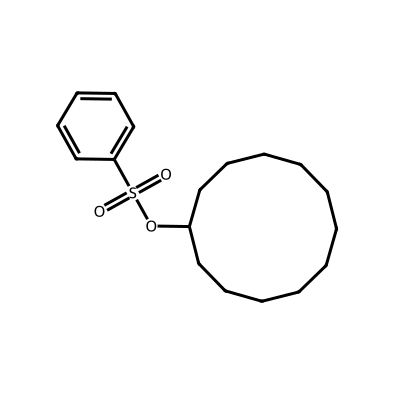 O=S(=O)(OC1CCCCCCCCCCC1)c1ccccc1